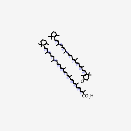 CC1=C(/C=C/C(C)=C/C=C/C(C)=C/C=C/C=C(C)/C=C/C=C(C)/C=C/C2=C(C)C(=O)CCC2(C)C)C(C)(C)CCC1.CC1=C(/C=C/C(C)=C/C=C/C(C)=C/C=C/C=C(C)/C=C/C=C(C)/C=C/C=C(C)/C=C/C=C(\C)C(=O)O)C(C)(C)CCC1